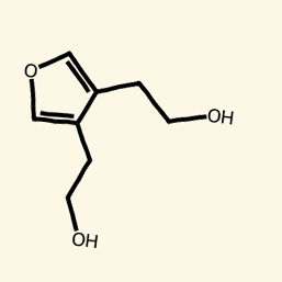 OCCc1cocc1CCO